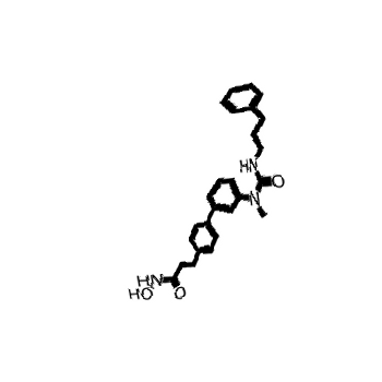 CN(C(=O)NCCCc1ccccc1)c1cccc(-c2ccc(CCC(=O)NO)cc2)c1